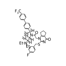 [2H]C([2H])(c1ccc(-c2ccc(C(F)(F)F)cc2)cc1)N(C(=O)Cn1c(SCc2ccc(F)cc2)nc(=O)c2c1CCC2)C([2H])([2H])C([2H])([2H])N(CC)CC